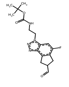 CC(C)(C)OC(=O)NCCn1nnc2c3c(c(F)cc21)CC(C=O)C3